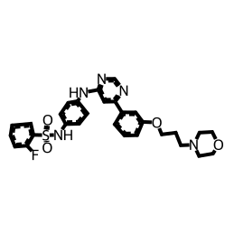 O=S(=O)(Nc1ccc(Nc2cc(-c3cccc(OCCCN4CCOCC4)c3)ncn2)cc1)c1ccccc1F